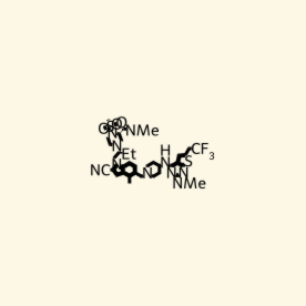 CC[C@@H](Cn1c(C#N)cc2c(C)c(CN3CCC(Nc4nc(NC)nc5sc(CC(F)(F)F)cc45)CC3)ccc21)N1CCN(S(C)(=O)=O)[C@H](C(=O)NC)C1